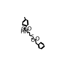 Cc1ccc(S(=O)(=O)NCCSOC(=O)Cc2ccccc2)cc1